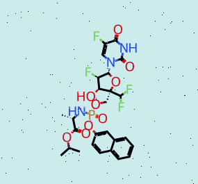 CC(C)OC(=O)[C@H](C)NP(=O)(OC[C@@]1(C(F)F)O[C@@H](n2cc(F)c(=O)[nH]c2=O)[C@H](F)[C@@H]1O)Oc1ccc2ccccc2c1